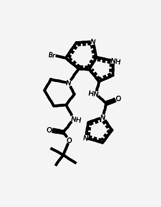 CC(C)(C)OC(=O)NC1CCCN(c2c(Br)cnc3[nH]cc(NC(=O)n4ccnc4)c23)C1